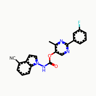 Cc1nc(-c2cccc(F)c2)ncc1OC(=O)Nn1ccc2c(C#N)cccc21